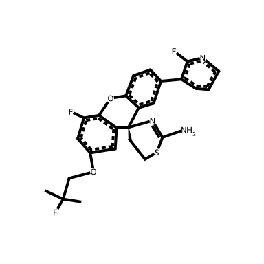 CC(C)(F)COc1cc(F)c2c(c1)[C@]1(CCSC(N)=N1)c1cc(-c3cccnc3F)ccc1O2